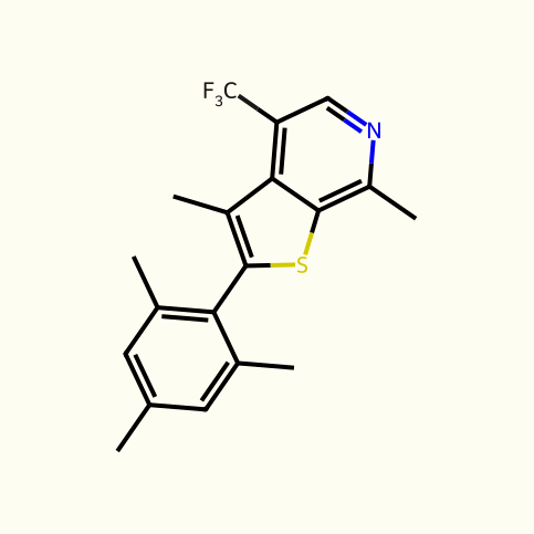 Cc1cc(C)c(-c2sc3c(C)ncc(C(F)(F)F)c3c2C)c(C)c1